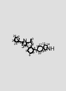 C=C(Cc1ccccc1C1CCC2(CCNC2)CC1)c1csc(-c2cccs2)n1